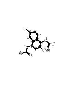 CCC(=O)Oc1cc(OC)c(OC(=O)CC)c2ccc(Cl)cc12